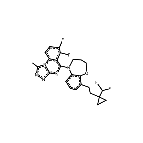 Cc1nnc2nc(N3CCCOc4c(CCC5(C(F)F)CC5)cccc43)c3c(F)c(F)ccc3n12